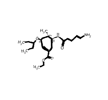 CCOC(=O)C1=C[C@@H](OC(CC)CC)[C@H](C)[C@@H](NC(=O)CCCCN)C1